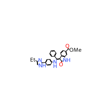 CCc1c[nH]c(-c2ccc(N/C(=C3\C(=O)Nc4cc(C(=O)OC)ccc43)c3ccccc3)cc2)n1